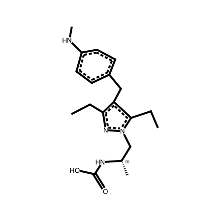 CCc1nn(C[C@H](C)NC(=O)O)c(CC)c1Cc1ccc(NC)cc1